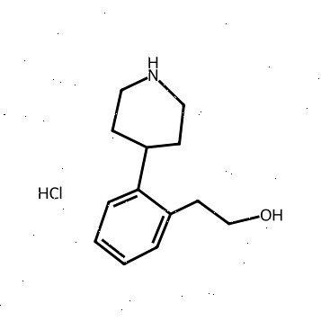 Cl.OCCc1ccccc1C1CCNCC1